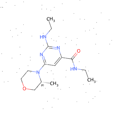 CCNC(=O)c1cc(N2CCOC[C@H]2C)nc(NCC)n1